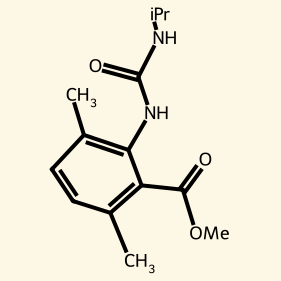 COC(=O)c1c(C)ccc(C)c1NC(=O)NC(C)C